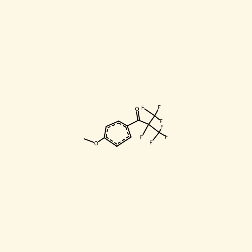 COc1ccc(C(=O)C(F)(C(F)(F)F)C(F)(F)F)cc1